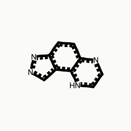 c1c[nH]c2c(ccc3nncc32)n1